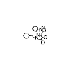 COc1cn(CCC2CCCCC2)nc(-c2ccnn2-c2ccccc2)c1=O